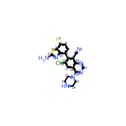 N#Cc1c(-c2ccc(F)c3sc(N)nc23)c(Cl)cc2c(N3CCNCC3)ncnc12